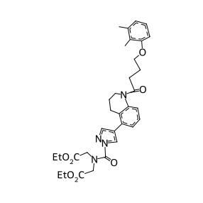 CCOC(=O)CN(CC(=O)OCC)C(=O)n1cc(-c2cccc3c2CCCN3C(=O)CCCOc2cccc(C)c2C)cn1